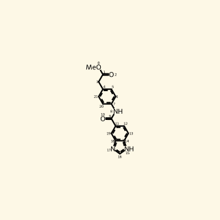 COC(=O)Cc1ccc(NC(=O)c2ccc3[nH]cnc3c2)cc1